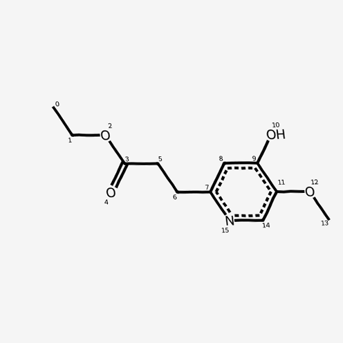 CCOC(=O)CCc1cc(O)c(OC)cn1